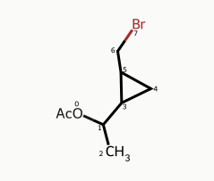 CC(=O)OC(C)C1CC1CBr